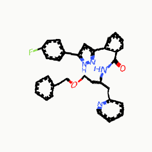 O=C(NC(CCOCc1ccccc1)Cc1ccccn1)c1ccccc1-c1cc(-c2ccc(F)cc2)[nH]n1